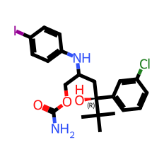 CC(C)(C)[C@](O)(CC(COC(N)=O)Nc1ccc(I)cc1)c1cccc(Cl)c1